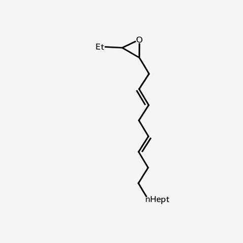 CCCCCCCCCC=CCC=CCC1OC1CC